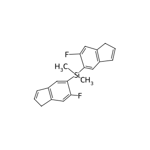 C[Si](C)(c1cc2c(cc1F)CC=C2)c1cc2c(cc1F)CC=C2